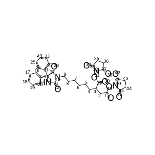 O=C(CC(CCCCCCN1C(=O)NC(c2ccccc2)(c2ccccc2)C1=O)C(=O)ON1C(=O)CCC1=O)ON1C(=O)CCC1=O